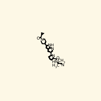 CC(C)(C#N)NC(=O)c1cccc(-c2cnc3[nH]c(C4=CCN(C(=O)C5CC5)CC4)cc3c2)n1